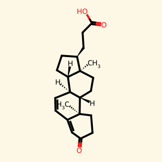 C[C@]12CC[C@H]3[C@@H](C=CC4=CC(=O)CC[C@@]43C)[C@@H]1CC[C@H]2CCC(=O)O